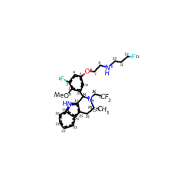 COc1c(F)cc(OCCNCCCF)cc1C1c2[nH]c3ccccc3c2C[C@@H](C)N1CC(F)(F)F